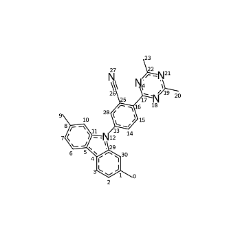 Cc1ccc2c3ccc(C)cc3n(-c3ccc(-c4nc(C)nc(C)n4)c(C#N)c3)c2c1